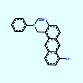 Nc1cccc2cc3c4c(ccc3cc12)N=CN(c1ccccc1)C4